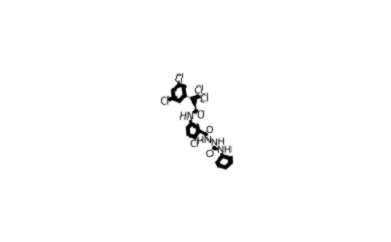 O=C(NNC(=O)c1cc(NC(=O)[C@H]2[C@H](c3cc(Cl)cc(Cl)c3)C2(Cl)Cl)ccc1Cl)Nc1ccccc1